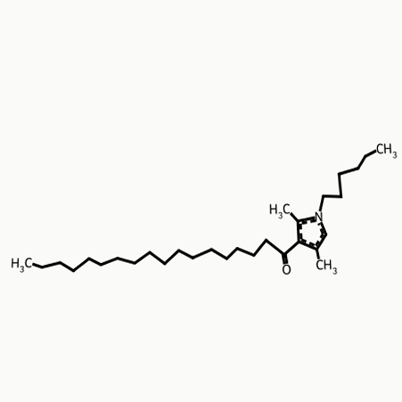 CCCCCCCCCCCCCCCCCC(=O)c1c(C)cn(CCCCCC)c1C